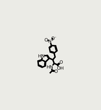 CC(=O)NC(C(=O)O)C(Cc1ccc([N+](=O)[O-])cc1)c1c[nH]c2ccccc12